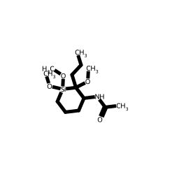 CCCC1(OC)C(NC(C)=O)CCC[Si]1(OC)OC